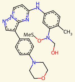 CSON(CO)c1cc(Nc2ccn3ncc(-c4ccc(N5CCOCC5)cc4)c3n2)ccc1C